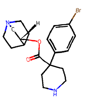 O=C(O[C@H]1CN2CCC1CC2)C1(c2ccc(Br)cc2)CCNCC1